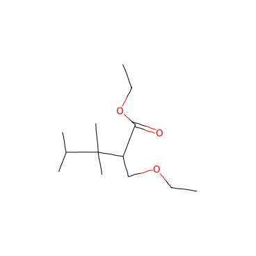 CCOCC(C(=O)OCC)C(C)(C)C(C)C